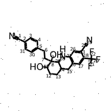 N#Cc1ccc(CCC2(O)C(O)CCC3Cc4cc(C(F)(F)F)c(C#N)cc4NC32)cc1